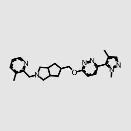 Cc1cccnc1CN1CC2CC(COc3ccc(-c4c(C)cnn4C)nn3)CC2C1